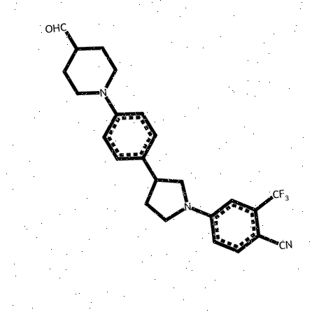 N#Cc1ccc(N2CCC(c3ccc(N4CCC(C=O)CC4)cc3)C2)cc1C(F)(F)F